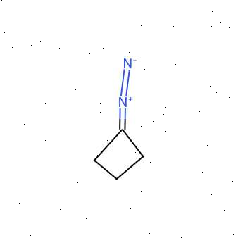 [N-]=[N+]=C1CCC1